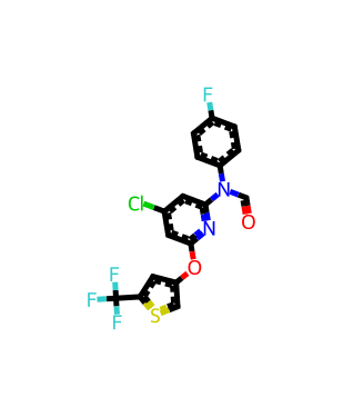 O=CN(c1ccc(F)cc1)c1cc(Cl)cc(Oc2csc(C(F)(F)F)c2)n1